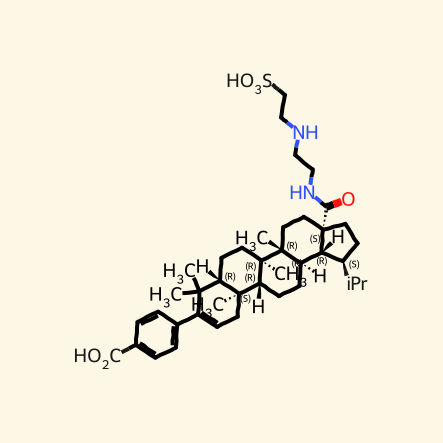 CC(C)[C@@H]1CC[C@]2(C(=O)NCCNCCS(=O)(=O)O)CC[C@]3(C)[C@H](CC[C@@H]4[C@@]5(C)CC=C(c6ccc(C(=O)O)cc6)C(C)(C)[C@@H]5CC[C@]43C)[C@@H]12